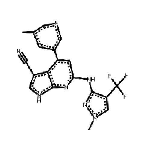 Cc1cncc(-c2cc(Nc3nn(C)cc3C(F)(F)F)nc3[nH]cc(C#N)c23)c1